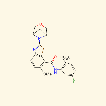 COc1ccc2nc(N3C4COCC3C4)sc2c1C(=O)Nc1cc(F)ccc1C(=O)O